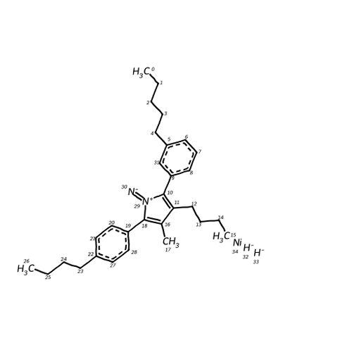 CCCCCc1cccc(C2=C(CCCC)C(C)=C(c3ccc(CCCC)cc3)[N+]2=[N-])c1.[H-].[H-].[Ni]